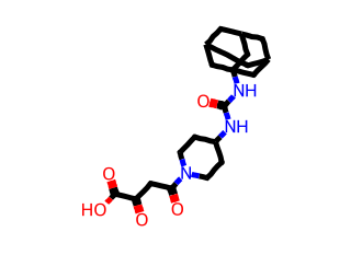 O=C(NC1CCN(C(=O)CC(=O)C(=O)O)CC1)NC12CC3CC(CC(C3)C1)C2